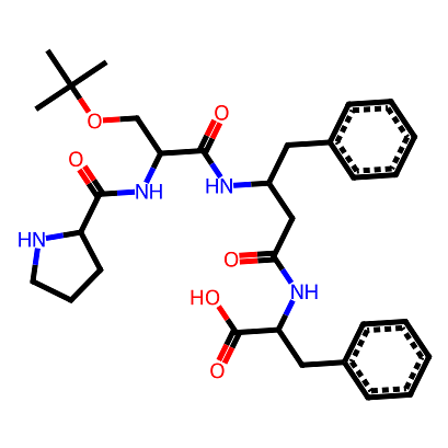 CC(C)(C)OCC(NC(=O)C1CCCN1)C(=O)NC(CC(=O)NC(Cc1ccccc1)C(=O)O)Cc1ccccc1